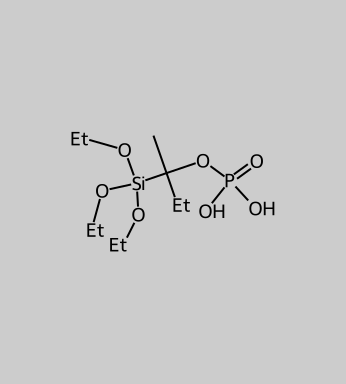 CCO[Si](OCC)(OCC)C(C)(CC)OP(=O)(O)O